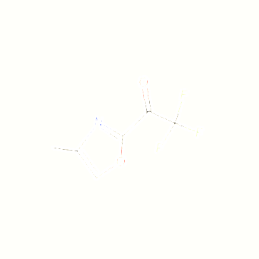 Cc1coc(C(=O)C(F)(F)F)n1